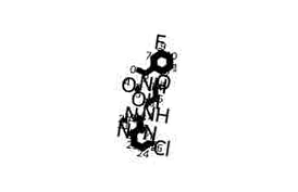 CC(NC(=O)O)c1cc(F)ccc1OCCCNc1ncnc2ccc(Cl)nc12